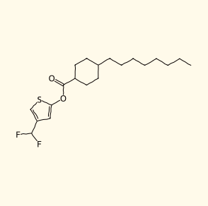 CCCCCCCCC1CCC(C(=O)Oc2cc(C(F)F)cs2)CC1